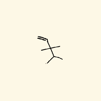 [CH2]C(C)C(C)(C)C=C